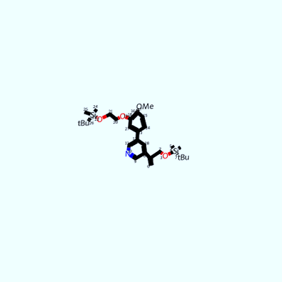 C=C(CO[Si](C)(C)C(C)(C)C)c1cncc(-c2ccc(OC)c(OCCO[Si](C)(C)C(C)(C)C)c2)c1